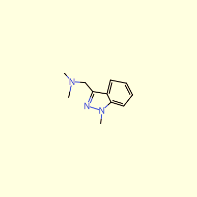 CN(C)Cc1nn(C)c2ccccc12